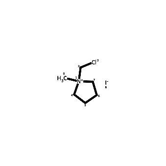 C[N+]1(CCl)CCCC1.[I-]